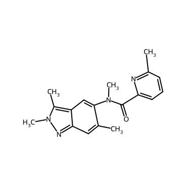 Cc1cccc(C(=O)N(C)c2cc3c(C)n(C)nc3cc2C)n1